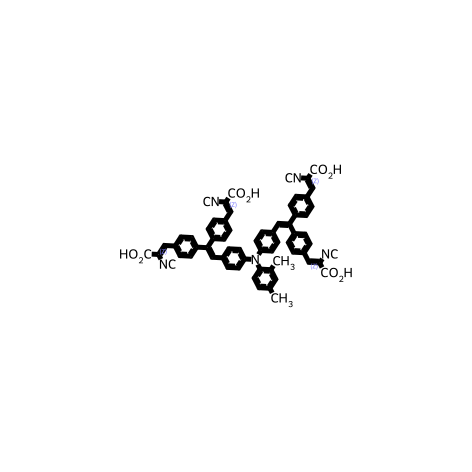 [C-]#[N+]/C(=C\c1ccc(C(=Cc2ccc(N(c3ccc(C=C(c4ccc(/C=C(\[N+]#[C-])C(=O)O)cc4)c4ccc(/C=C(\[N+]#[C-])C(=O)O)cc4)cc3)c3ccc(C)cc3C)cc2)c2ccc(/C=C(\[N+]#[C-])C(=O)O)cc2)cc1)C(=O)O